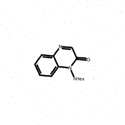 CCCCCCn1c(=O)cnc2ccccc21